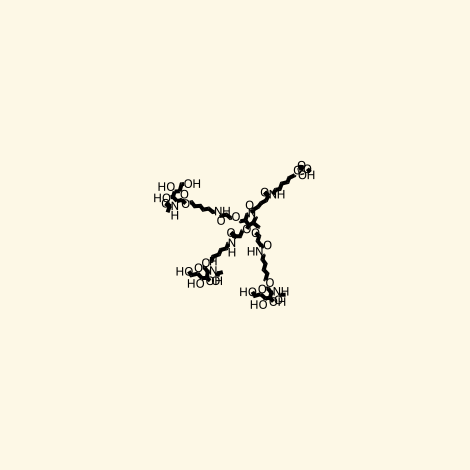 COP(=O)(O)OCCCCCCNC(=O)CCCC(=O)N1CC(COCCC(=O)NCCCCCCOC2OC(CO)C(O)C(O)C2NC(C)=O)C(OCCC(=O)NCCCCCCOC2OC(CO)C(O)C(O)C2NC(C)=O)C(COCCC(=O)NCCCCCCOC2OC(CO)C(O)C(O)C2NC(C)=O)C1